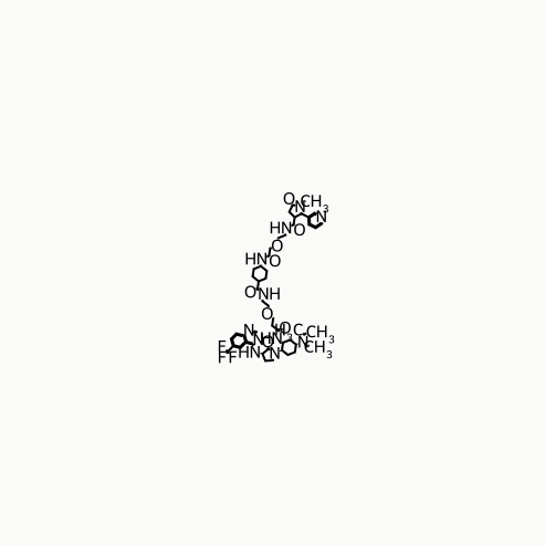 CC(C)N(C)[C@@H]1CC[C@H](N2CC[C@H](Nc3ncnc4ccc(C(F)(F)F)cc34)C2=O)[C@H](NC(=O)CCOCCNC(=O)C2CCC(NC(=O)COCCNC(=O)C3CC(=O)N(C)C3c3cccnc3)CC2)C1